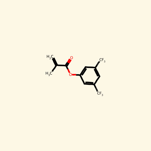 C=C(C)C(=O)Oc1cc(C(F)(F)F)cc(C(F)(F)F)c1